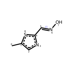 Cc1cnc(/C=N/O)s1